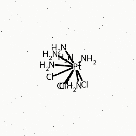 [NH2][Pt]([NH2])([NH2])([NH2])([NH2])([NH2])([Cl])([Cl])([Cl])[Cl]